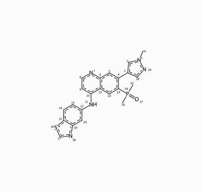 Cn1cc(-c2cc3nccc(Nc4ccc5scnc5c4)c3cc2P(C)(C)=O)cn1